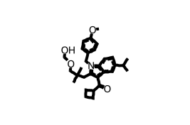 COc1ccc(Cn2c(CC(C)(C)COCO)c(C(=O)C3CCC3)c3cc(C(C)C)ccc32)cc1